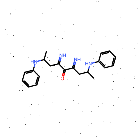 CC(CC(=N)C(=O)C(=N)CC(C)Nc1ccccc1)Nc1ccccc1